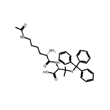 CC(=O)NCCCC[C@H](N)C(=O)N[C@H](C(=O)O)C(C)(C)SC(c1ccccc1)(c1ccccc1)c1ccccc1